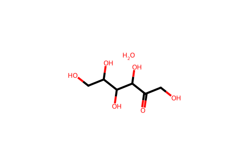 O.O=C(CO)C(O)C(O)C(O)CO